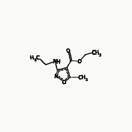 CCNc1noc(C)c1C(=O)OCC